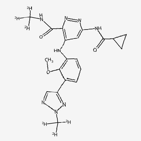 [2H]C([2H])([2H])NC(=O)c1nnc(NC(=O)C2CC2)cc1Nc1cccc(-c2cnn(C([2H])([2H])[2H])n2)c1OC